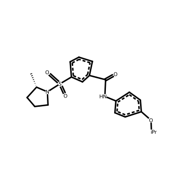 CC(C)Oc1ccc(NC(=O)c2cccc(S(=O)(=O)N3CCC[C@@H]3C)c2)cc1